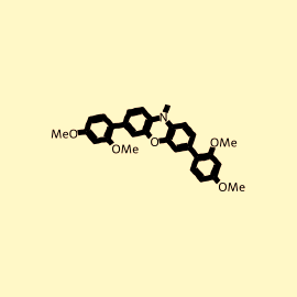 COc1ccc(-c2ccc3c(c2)Oc2cc(-c4ccc(OC)cc4OC)ccc2N3C)c(OC)c1